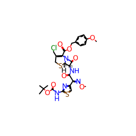 CON=C(C(=O)N[C@@H]1C(=O)N2C(C(=O)OCc3ccc(OC)cc3)=C(CCl)CS[C@@H]12)c1csc(NC(=O)OC(C)(C)C)n1